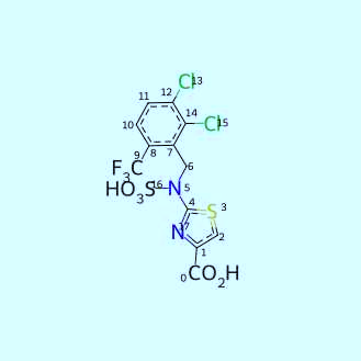 O=C(O)c1csc(N(Cc2c(C(F)(F)F)ccc(Cl)c2Cl)S(=O)(=O)O)n1